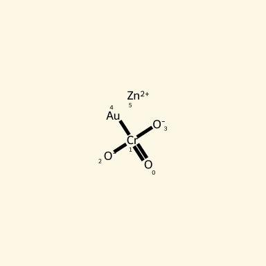 [O]=[Cr]([O-])([O-])[Au].[Zn+2]